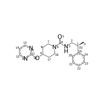 C[C@H](CNC(=O)N1CCC(Oc2ncccn2)CC1)c1ccccc1